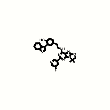 CC1(C)COc2nc3c(NCCc4ccc(O)c(-c5csc6ccccc56)c4)nc(-c4cncc(F)c4)nc3n21